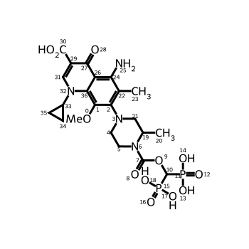 COc1c(N2CCN(C(=O)OC(P(=O)(O)O)P(=O)(O)O)C(C)C2)c(C)c(N)c2c(=O)c(C(=O)O)cn(C3CC3)c12